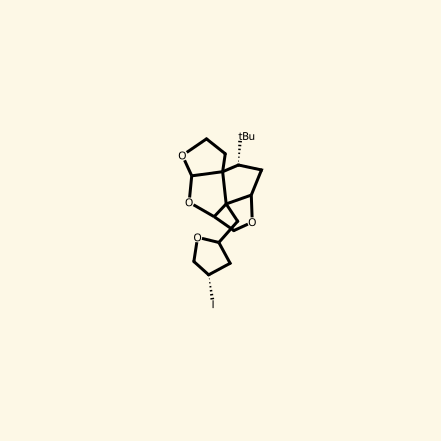 CC(C)(C)[C@@H]1CC2OCC3OC4OCCC41C23CC1C[C@H](I)CO1